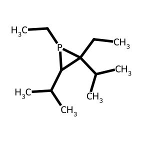 CCP1C(C(C)C)C1(CC)C(C)C